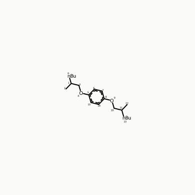 CCCCC(C)COc1ccc(OCC(C)CCCC)cc1